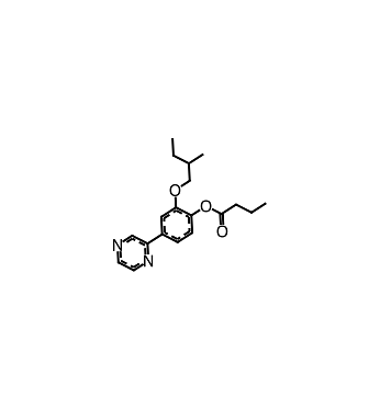 CCCC(=O)Oc1ccc(-c2cnccn2)cc1OCC(C)CC